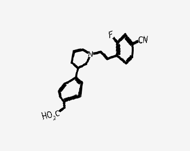 N#Cc1ccc(CCN2CCCC(c3ccc(CC(=O)O)cc3)C2)c(F)c1